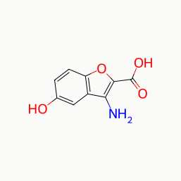 Nc1c(C(=O)O)oc2ccc(O)cc12